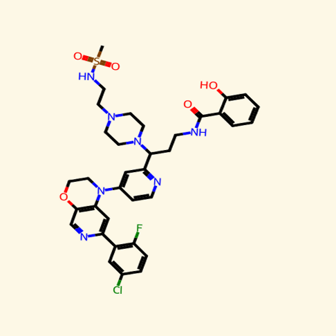 CS(=O)(=O)NCCN1CCN(C(CCNC(=O)c2ccccc2O)c2cc(N3CCOc4cnc(-c5cc(Cl)ccc5F)cc43)ccn2)CC1